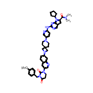 COc1ccc(CN2C(=O)CCN(c3cnc4cc(N5CC6(CCN(c7ccc(Nc8ncc9cc(C(=O)N(C)C)n(C%10CCCC%10)c9n8)nc7)CC6)C5)ccc4c3)C2=O)cc1